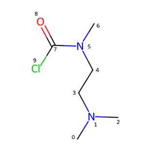 CN(C)CCN(C)C(=O)Cl